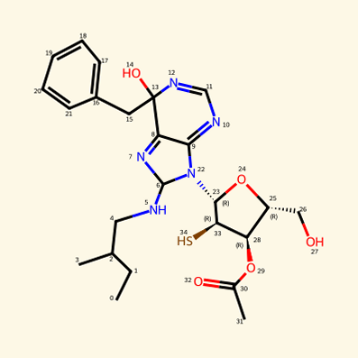 CCC(C)CNC1N=C2C(=NC=NC2(O)Cc2ccccc2)N1[C@@H]1O[C@H](CO)[C@@H](OC(C)=O)[C@H]1S